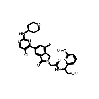 COc1cccc(C(CO)NC(=O)CN2Cc3c(F)cc(-c4nc(NC5CCOCC5)ncc4Cl)cc3C2=O)n1